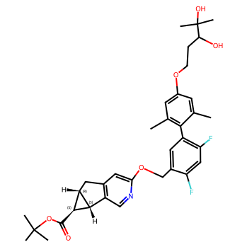 Cc1cc(OCCC(O)C(C)(C)O)cc(C)c1-c1cc(COc2cc3c(cn2)[C@H]2[C@@H](C3)[C@@H]2C(=O)OC(C)(C)C)c(F)cc1F